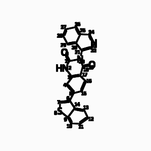 O=c1[nH]c2cc(-c3csc4ccccc34)ccc2c(=O)n1-c1cncc2ccccc12